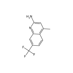 Cc1cc(N)nc2cc(C(F)(F)F)ccc12